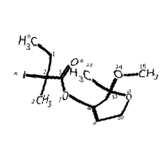 CCC(C)(I)C(=O)OC1CCOC1(C)OC